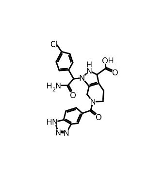 NC(=O)C(c1ccc(Cl)cc1)N1NC(C(=O)O)C2=C1CN(C(=O)c1ccc3[nH]nnc3c1)CC2